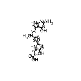 CN(CCc1c[nH]c2nc(N)nc(O)c12)c1cnc(C(=O)N[C@@H](CCC(=O)O)C(=O)O)s1